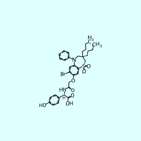 CCCCC1(CCCC)CN(c2ccccc2)c2cc(Br)c(OCC(=O)N[C@@H](C(=O)O)c3ccc(O)cc3)cc2S(=O)(=O)C1